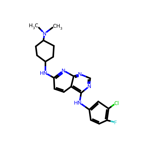 CN(C)C1CCC(Nc2ccc3c(Nc4ccc(F)c(Cl)c4)ncnc3n2)CC1